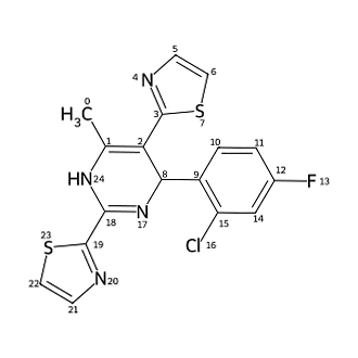 CC1=C(c2nccs2)C(c2ccc(F)cc2Cl)N=C(c2nccs2)N1